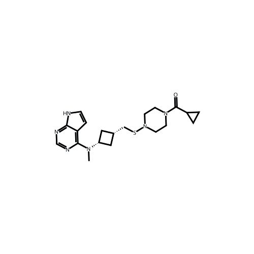 CN(c1ncnc2[nH]ccc12)[C@H]1C[C@@H](CSN2CCN(C(=O)C3CC3)CC2)C1